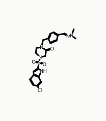 CN(C)N=Cc1ccc(CN2CCN(S(=O)(=O)c3cc4ccc(Cl)cc4[nH]3)CC2=O)cc1